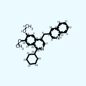 COc1cc2c(Cc3cnc4ccccc4c3)cnc(C3CCCCC3)c2cc1OC